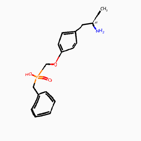 C[C@@H](N)Cc1ccc(OCP(=O)(O)Cc2ccccc2)cc1